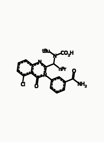 CCCC(c1nc2cccc(Cl)c2c(=O)n1-c1cccc(C(N)=O)c1)N(C(=O)O)C(C)(C)C